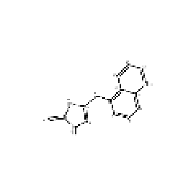 S=c1[nH]cc(Cc2cccc3ncccc23)[nH]1